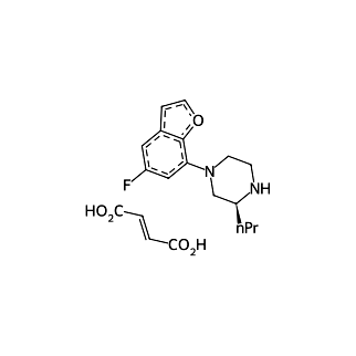 CCC[C@H]1CN(c2cc(F)cc3ccoc23)CCN1.O=C(O)C=CC(=O)O